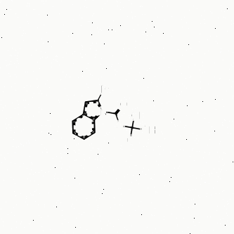 CC(C)(C)OC(=O)n1c(Br)cc2ccccc21